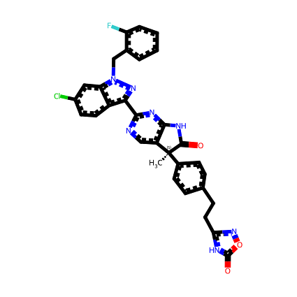 C[C@@]1(c2ccc(CCc3noc(=O)[nH]3)cc2)C(=O)Nc2nc(-c3nn(Cc4ccccc4F)c4cc(Cl)ccc34)ncc21